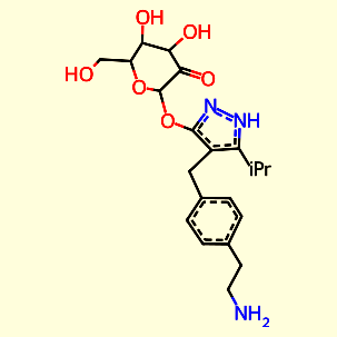 CC(C)c1[nH]nc(OC2OC(CO)C(O)C(O)C2=O)c1Cc1ccc(CCN)cc1